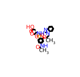 CC(=O)Nc1ccc(S(=O)(=O)N[C@H](C=O)CC(=O)O)c(O[C@H](C)CN2C=NC3C=CC=CC32)c1